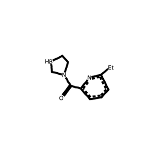 CCc1cccc(C(=O)N2CBCC2)n1